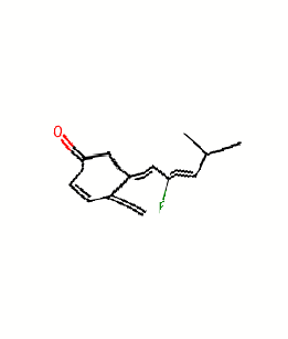 C=C1C=CC(=O)C/C1=C/C(F)=C\C(C)C